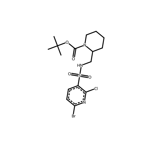 CC(C)(C)OC(=O)N1CCCCC1CNS(=O)(=O)c1ccc(Br)nc1Cl